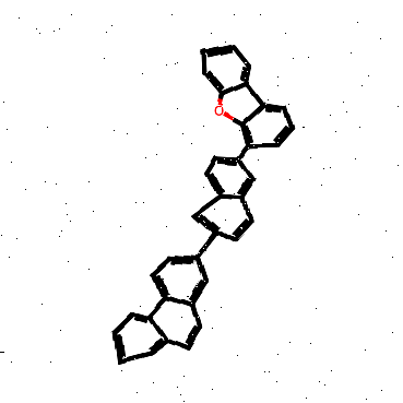 c1ccc2c(c1)ccc1cc(-c3ccc4cc(-c5cccc6c5oc5ccccc56)ccc4c3)ccc12